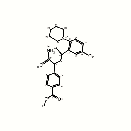 COC(=O)c1ccc(C(CC(C)c2cc(Cl)ccc2N2CCCCC2)C(N)=O)cc1